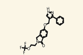 O=C1c2ccc(OCc3c[nH]nc3-c3ccccc3)cc2CN1CCOC(F)(F)F